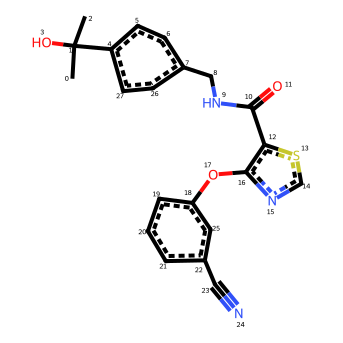 CC(C)(O)c1ccc(CNC(=O)c2scnc2Oc2cccc(C#N)c2)cc1